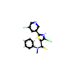 CN(C(=S)c1sc(-c2cncc(F)c2)nc1Cl)c1ccccc1